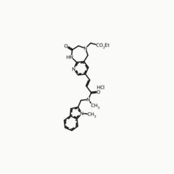 CCOC(=O)CN1CC(=O)Nc2ncc(C=CC(=O)N(C)Cc3cc4ccccc4n3C)cc2C1.Cl